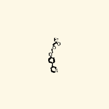 CCC(=O)COCCOc1ccc(-c2cccnc2)cc1